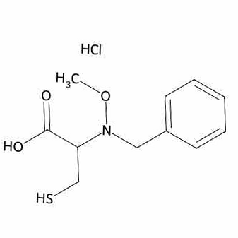 CON(Cc1ccccc1)C(CS)C(=O)O.Cl